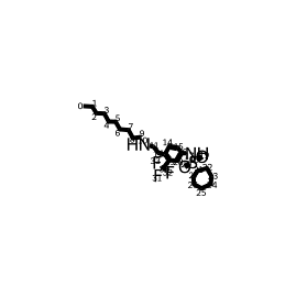 CCCCCCCCCCNCCc1ccc(NS(=O)(=O)C2CCCCCC2)cc1C(F)(F)F